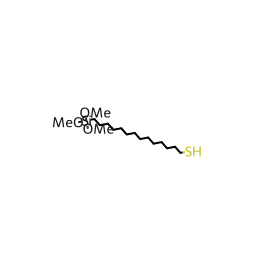 CO[Si](CCCCCCCCCCCCCCS)(OC)OC